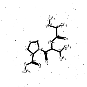 CNC(C)C(=O)NC(C(=O)N1CCCC1C(=O)OC)C(C)C